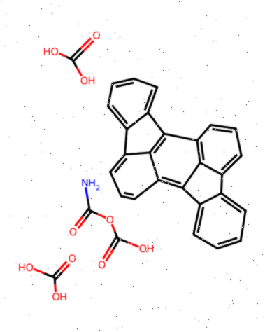 NC(=O)OC(=O)O.O=C(O)O.O=C(O)O.c1ccc2c(c1)c1cccc3c4c5ccccc5c5cccc(c2c13)c54